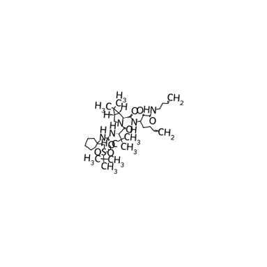 C=CCCNC(=O)C(=O)C(CCC=C)NC(=O)[C@@H]1[C@@H]2[C@H](CN1C(=O)[C@@H](NC(=O)NC1(CS(=O)(=O)C(C)(C)C)CCCCC1)C(C)(C)C)C2(C)C